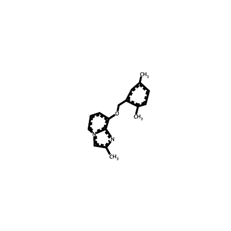 Cc1ccc(C)c(COc2cccn3cc(C)nc23)c1